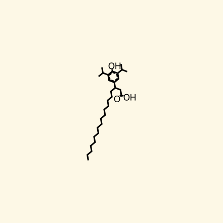 CCCCCCCCCCCCCCCCC(CC(=O)O)c1cc(C(C)C)c(O)c(C(C)C)c1